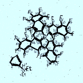 CC[NH+](CC)c1ccccc1.Fc1c(F)c(F)c2c(F)c([B-](c3c(F)c(F)c4c(F)c(F)c(F)c(F)c4c3F)(c3c(F)c(F)c4c(F)c(F)c(F)c(F)c4c3F)c3c(F)c(F)c4c(F)c(F)c(F)c(F)c4c3F)c(F)c(F)c2c1F